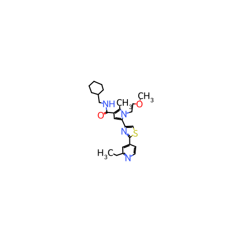 CCc1cc(-c2nc(-c3cc(C(=O)NCC4CCCCC4)c(C)n3CCOC)cs2)ccn1